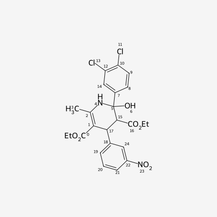 CCOC(=O)C1=C(C)NC(O)(c2ccc(Cl)c(Cl)c2)C(C(=O)OCC)C1c1cccc([N+](=O)[O-])c1